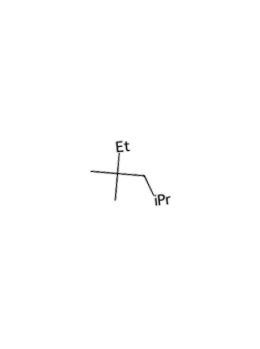 [CH2]CC(C)(C)CC([CH2])C